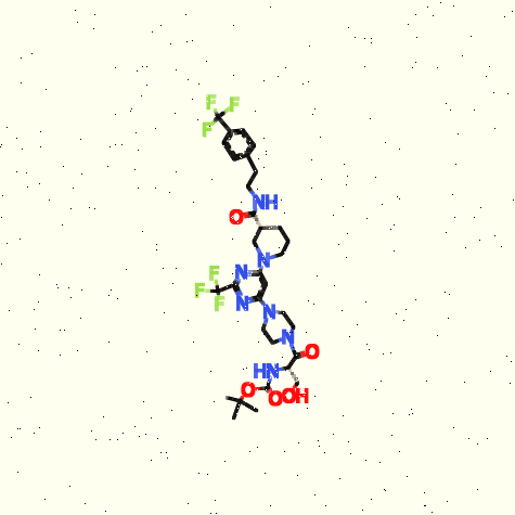 CC(C)(C)OC(=O)N[C@@H](CO)C(=O)N1CCN(c2cc(N3CCC[C@@H](C(=O)NCCc4ccc(C(F)(F)F)cc4)C3)nc(C(F)(F)F)n2)CC1